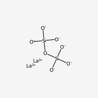 [La+3].[La+3].[O-][Si]([O-])([O-])O[Si]([O-])([O-])[O-]